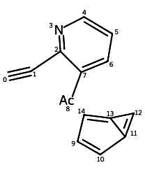 C#Cc1ncccc1C(C)=O.c1cc2cc-2c1